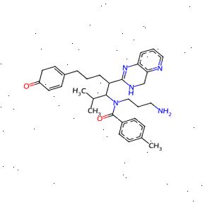 Cc1ccc(C(=O)N(CCCN)C(C(C)C)C(CCCC2=CCC(=O)C=C2)C2=Nc3cccnc3CN2)cc1